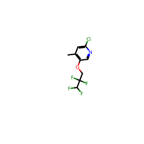 Cc1cc(Cl)ncc1OCC(F)(F)C(F)F